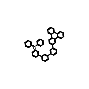 c1ccc(N(c2ccccc2)c2cccc(-c3cccc(-c4cccc(-c5ccc6c7ccccc7c7ccccc7c6c5)c4)c3)c2)cc1